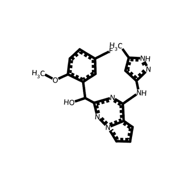 COc1ccc(F)cc1C(O)c1nc(Nc2cc(C)[nH]n2)c2cccn2n1